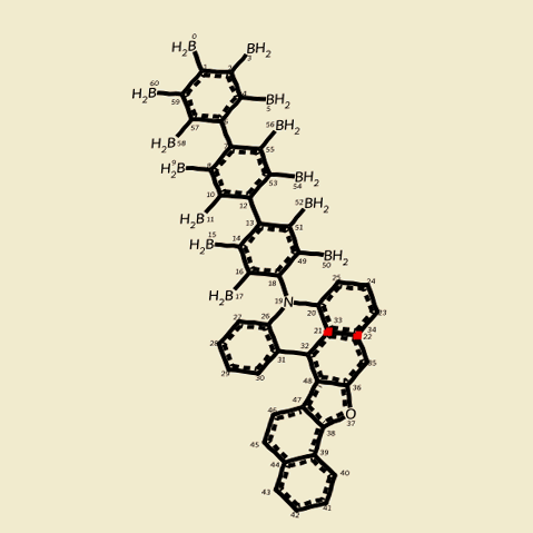 Bc1c(B)c(B)c(-c2c(B)c(B)c(-c3c(B)c(B)c(N(c4ccccc4)c4ccccc4-c4cccc5oc6c7ccccc7ccc6c45)c(B)c3B)c(B)c2B)c(B)c1B